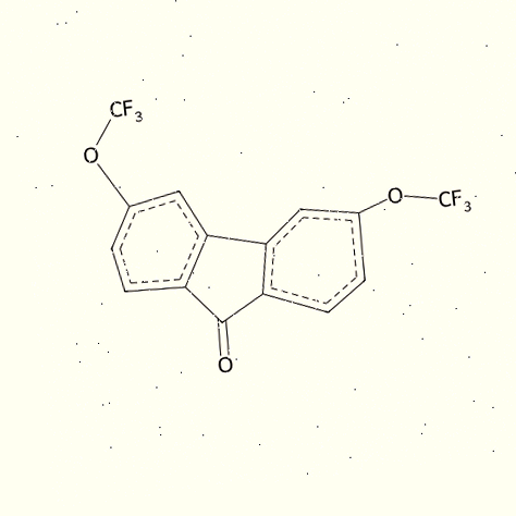 O=C1c2ccc(OC(F)(F)F)cc2-c2cc(OC(F)(F)F)ccc21